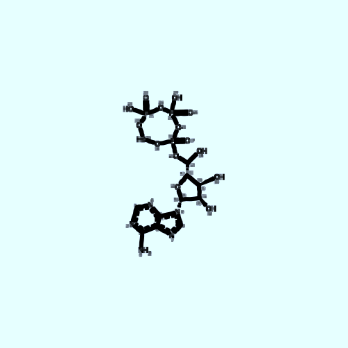 Nc1ncnc2c1ncn2[C@@H]1O[C@H](C(O)OP2(=O)OBOP(=O)(O)OP(=O)(O)O2)[C@@H](O)[C@H]1O